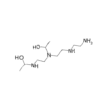 CC(O)NCCN(CCNCCN)C(C)O